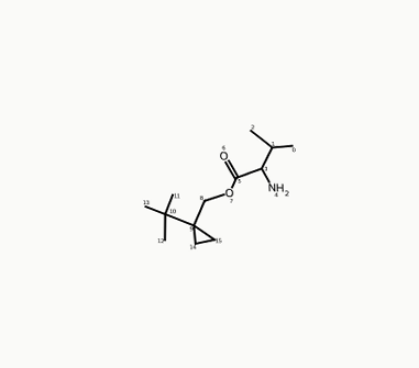 CC(C)C(N)C(=O)OCC1(C(C)(C)C)CC1